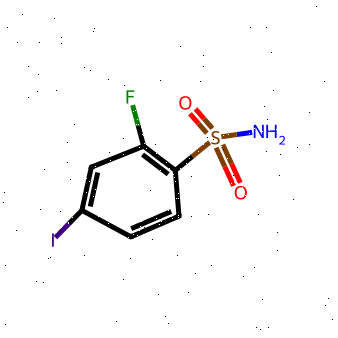 NS(=O)(=O)c1ccc(I)cc1F